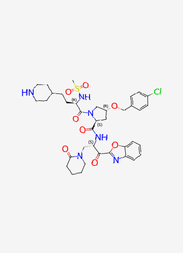 CS(=O)(=O)N[C@H](CCC1CCNCC1)C(=O)N1C[C@H](OCc2ccc(Cl)cc2)C[C@H]1C(=O)N[C@@H](CN1CCCCC1=O)C(=O)c1nc2ccccc2o1